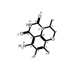 CC1COc2c(F)c(F)c(N)c3c(=O)[nH]c(=O)n1c23